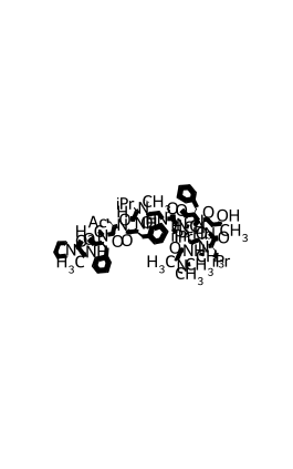 CC(=O)C[C@H](NC(=O)[C@H](Cc1ccccc1)NC(=O)[C@H](C(C)C)N(C)C(=O)CNC(=O)[C@H](CC(C)C)N(C)C(=O)[C@H](Cc1ccccc1)N(C)C(=O)[C@@H](NC(=O)[C@H](CC(C)C)N(C)C(=O)[C@@H](NC(=O)[C@@H](C)N(C)C)C(C)C)[C@@H](C)O)C(=O)N(C)[C@@H](Cc1ccccc1)C(=O)N[C@@H](C)C(=O)N1CCCCC1